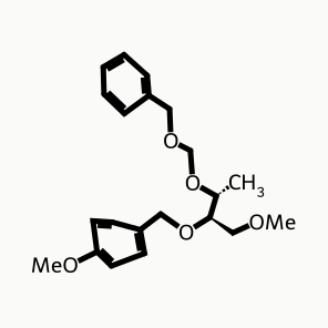 COC[C@@H](OCc1ccc(OC)cc1)[C@@H](C)OCOCc1ccccc1